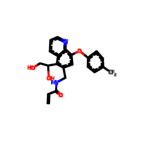 C=CC(=O)NCc1cc(Oc2ccc(C(F)(F)F)cc2)c2ncccc2c1C(O)CO